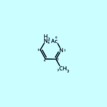 CC(=O)/N=C(C)\C=C/N